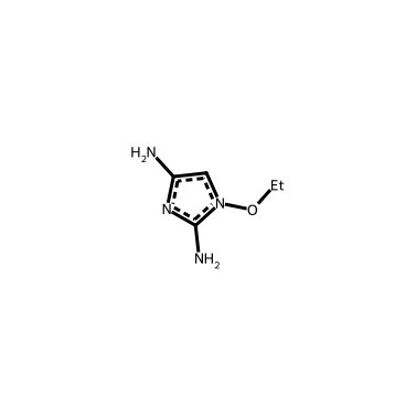 CCOn1cc(N)nc1N